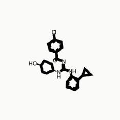 O=C(/N=C(/Nc1ccccc1C1CC1)N[C@H]1CC[C@H](O)CC1)c1ccc(Cl)cc1